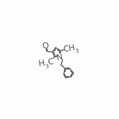 Cc1cc(C=O)c(C)n1CCc1ccccc1